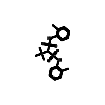 Cc1ccccc1NS(=O)(=O)C([Si](C)(C)C)S(=O)(=O)Nc1ccccc1C